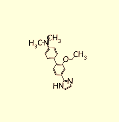 CCOc1cc(-c2ncc[nH]2)ccc1-c1ccc(N(C)C)cc1